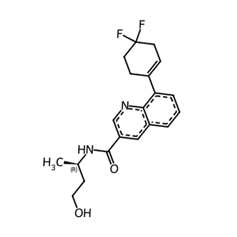 C[C@H](CCO)NC(=O)c1cnc2c(C3=CCC(F)(F)CC3)cccc2c1